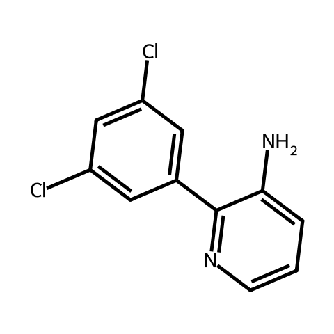 Nc1cccnc1-c1cc(Cl)cc(Cl)c1